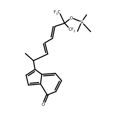 CC(C=CC=CC(O[Si](C)(C)C)(C(F)(F)F)C(F)(F)F)C1=CC=C2C(=O)C=CC=C21